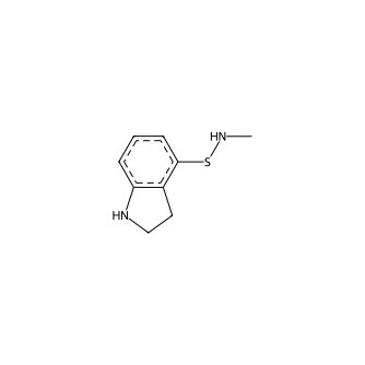 CNSc1cccc2c1CCN2